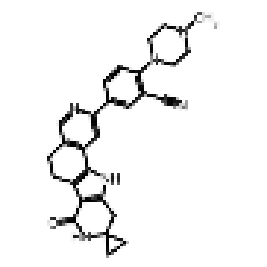 CN1CCN(c2ccc(-c3cc4c(cn3)CCc3c-4[nH]c4c3C(=O)NC3(CC3)C4)cc2C#N)CC1